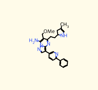 COCc1c(CCC2CC(C)=CN2)nc2c(-c3ccc(-c4ccccc4)nc3)cnn2c1N